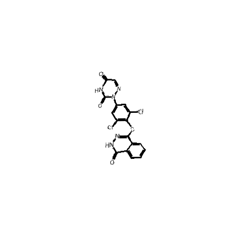 O=c1cnn(-c2cc(Cl)c(Oc3n[nH]c(=O)c4ccccc34)c(Cl)c2)c(=O)[nH]1